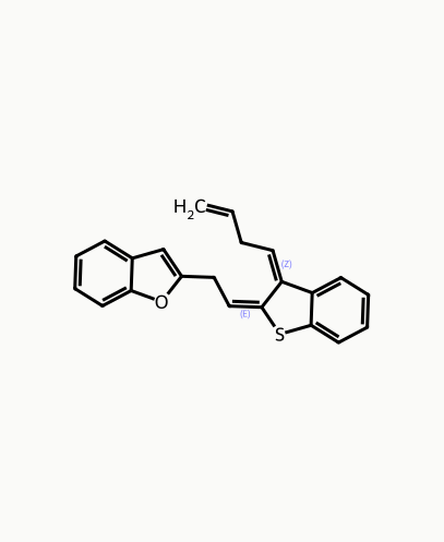 C=CC/C=c1\c(=C/Cc2cc3ccccc3o2)sc2ccccc12